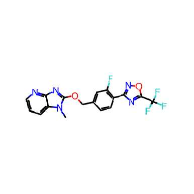 Cn1c(OCc2ccc(-c3noc(C(F)(F)F)n3)c(F)c2)nc2ncccc21